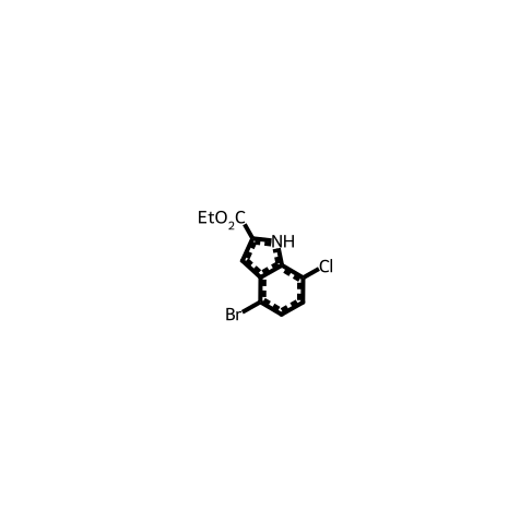 CCOC(=O)c1cc2c(Br)ccc(Cl)c2[nH]1